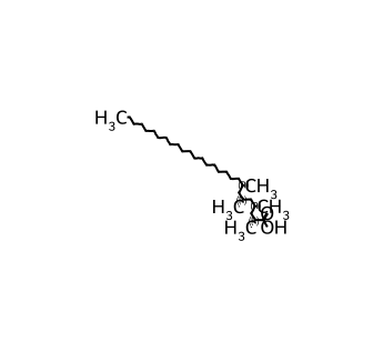 CCCCCCCCCCCCCCCCCCCC[C@@H](C)C[C@@H](C)C[C@@H](C)C[C@@H](C)C(=O)O